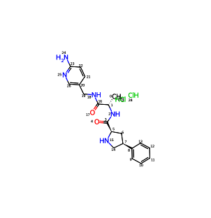 C[C@H](NC(=O)[C@H]1C[C@@H](c2ccccc2)CN1)C(=O)NCc1ccc(N)nc1.Cl.Cl